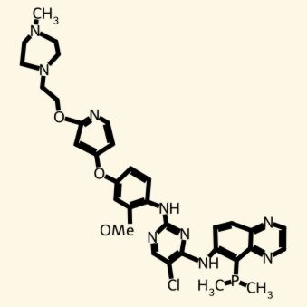 COc1cc(Oc2ccnc(OCCN3CCN(C)CC3)c2)ccc1Nc1ncc(Cl)c(Nc2ccc3nccnc3c2P(C)C)n1